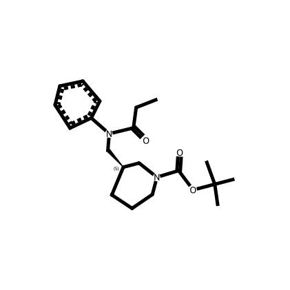 CCC(=O)N(C[C@@H]1CCCN(C(=O)OC(C)(C)C)C1)c1ccccc1